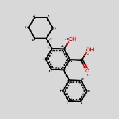 O=C(O)c1c(-c2ccccc2)ccc(C2CCCCC2)c1O